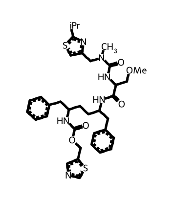 COCC(NC(=O)N(C)Cc1csc(C(C)C)n1)C(=O)NC(CCC(Cc1ccccc1)NC(=O)OCc1cncs1)Cc1ccccc1